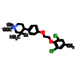 CCC1(C(=O)O)C[N+](C(=O)[O-])(C(C)(C)C)CCC1c1ccc(OCCOc2c(Cl)cc(C)cc2Cl)cc1